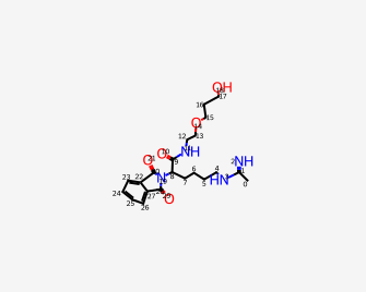 CC(=N)NCCCCC(C(=O)NCCOCCCO)N1C(=O)c2ccccc2C1=O